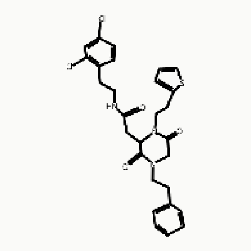 O=C(CC1C(=O)N(CCc2ccccc2)CC(=O)N1CCc1cccs1)NCCc1ccc(Cl)cc1Cl